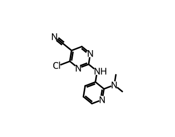 CN(C)c1ncccc1Nc1ncc(C#N)c(Cl)n1